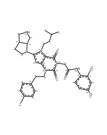 CC(C)CCn1c(N2CCC3CNCC32)nc2c1c(=O)n(CC(=O)Nc1ccc(Cl)cc1Cl)c(=O)n2CCc1ccc(F)cc1